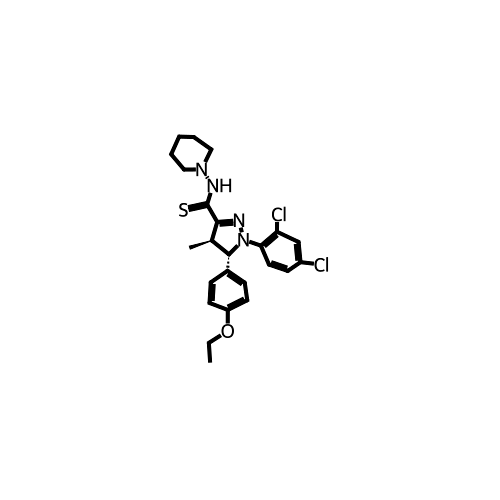 CCOc1ccc([C@@H]2[C@@H](C)C(C(=S)NN3CCCCC3)=NN2c2ccc(Cl)cc2Cl)cc1